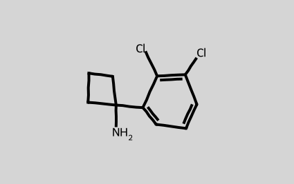 NC1(c2cccc(Cl)c2Cl)CCC1